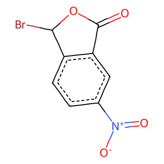 O=C1OC(Br)c2ccc([N+](=O)[O-])cc21